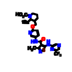 Cc1nsc(Nc2cncc(C(F)(F)F)n2)c1C(=O)Nc1ccc(OCC2CCCN(C(=O)O)C2C(C)(C)C)nc1